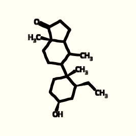 CC[C@H]1C[C@@H](O)CC[C@]1(C)C1CC[C@]2(C)C(=O)CCC2C1C